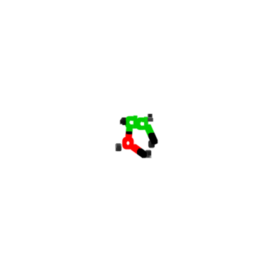 CCl.COCl